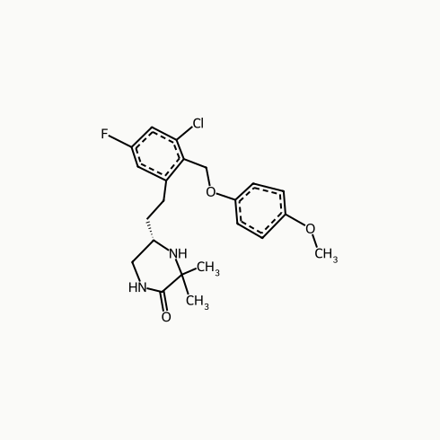 COc1ccc(OCc2c(Cl)cc(F)cc2CC[C@H]2CNC(=O)C(C)(C)N2)cc1